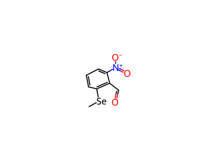 C[Se]c1cccc([N+](=O)[O-])c1C=O